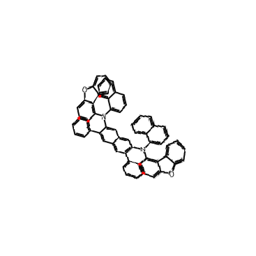 c1ccc(-c2cc3cc(-c4ccccc4)c(N(c4cccc5ccccc45)c4cccc5oc6ccccc6c45)cc3cc2N(c2cccc3ccccc23)c2cccc3oc4ccccc4c23)cc1